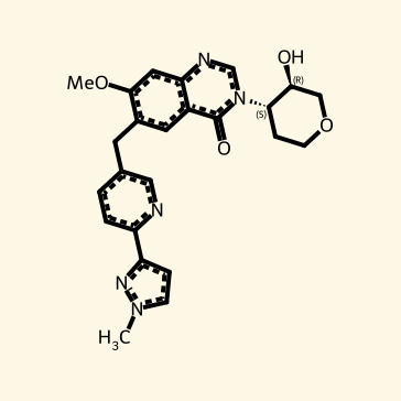 COc1cc2ncn([C@H]3CCOC[C@@H]3O)c(=O)c2cc1Cc1ccc(-c2ccn(C)n2)nc1